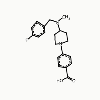 CN(Cc1ccc(F)cc1)C1CCN(c2ccc(C(=O)O)cc2)CC1